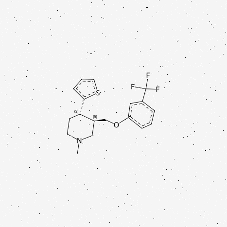 CN1CC[C@H](c2cccs2)[C@@H](COc2cccc(C(F)(F)F)c2)C1